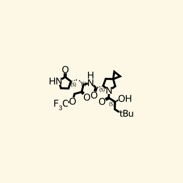 CC(C)(C)C[C@H](O)C(=O)N1CC2(CC2)C[C@H]1C(=O)N[C@@H](C[C@@H]1CCNC1=O)C(=O)COC(F)(F)F